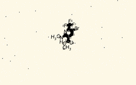 CNc1nc(C(F)(F)F)c(Br)cc1C(=O)OC